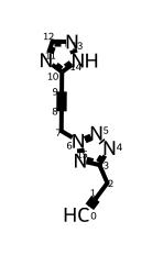 C#CCc1nnn(CC#Cc2ncn[nH]2)n1